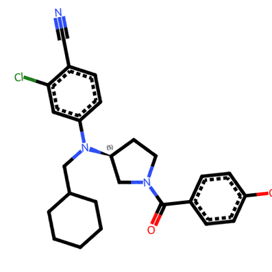 N#Cc1ccc(N(CC2CCCCC2)[C@H]2CCN(C(=O)c3ccc(O)cc3)C2)cc1Cl